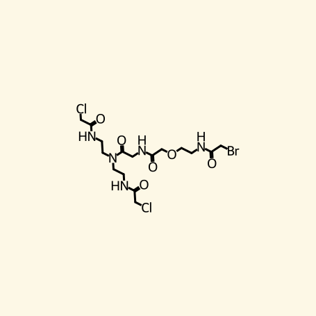 O=C(CCl)NCCN(CCNC(=O)CCl)C(=O)CNC(=O)COCCNC(=O)CBr